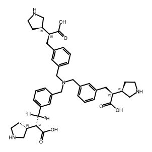 [2H]C([2H])(c1cccc(CN(Cc2cccc(C[C@H](C(=O)O)[C@H]3CCNC3)c2)Cc2cccc(C[C@H](C(=O)O)[C@H]3CCNC3)c2)c1)[C@H](C(=O)O)[C@H]1CCNC1